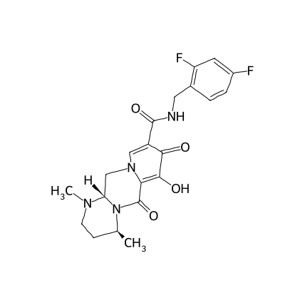 C[C@H]1CCN(C)[C@@H]2Cn3cc(C(=O)NCc4ccc(F)cc4F)c(=O)c(O)c3C(=O)N12